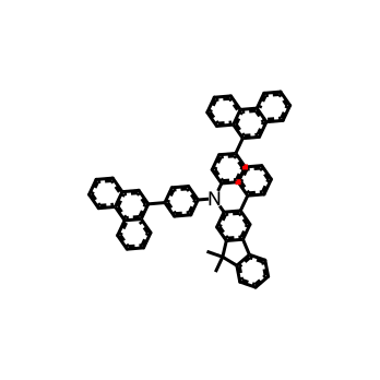 CC1(C)c2ccccc2-c2cc(-c3ccccc3)c(N(c3ccc(-c4cc5ccccc5c5ccccc45)cc3)c3ccc(-c4cc5ccccc5c5ccccc45)cc3)cc21